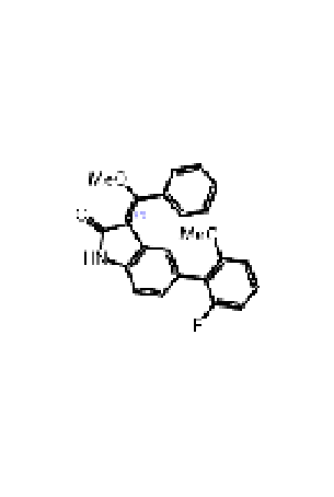 CO/C(=C1\C(=O)Nc2ccc(-c3c(F)cccc3OC)cc21)c1ccccc1